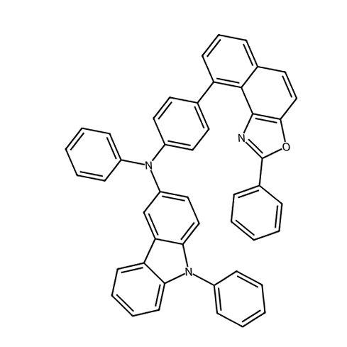 c1ccc(-c2nc3c(ccc4cccc(-c5ccc(N(c6ccccc6)c6ccc7c(c6)c6ccccc6n7-c6ccccc6)cc5)c43)o2)cc1